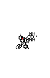 C=Nc1nc(C(=N)OC(N)=O)nc(-c2cccc(C)c2)c1N(CN1CCOCC1)C[C@H]1CC[C@H](C)CC1